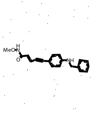 CONC(=O)/C=C/C#Cc1ccc(NCc2ccccc2)cc1